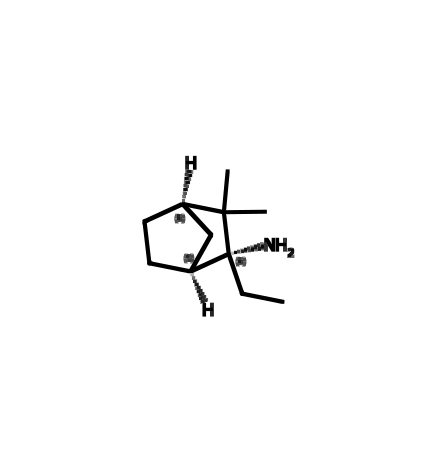 CC[C@@]1(N)[C@H]2CC[C@H](C2)C1(C)C